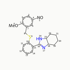 COc1ccc(N=O)cc1CSc1ccccc1C1=NC2CCCCC2N1